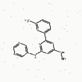 CCCNc1cc(Nc2cncnc2)nc(-c2cccc(C(F)(F)F)n2)n1